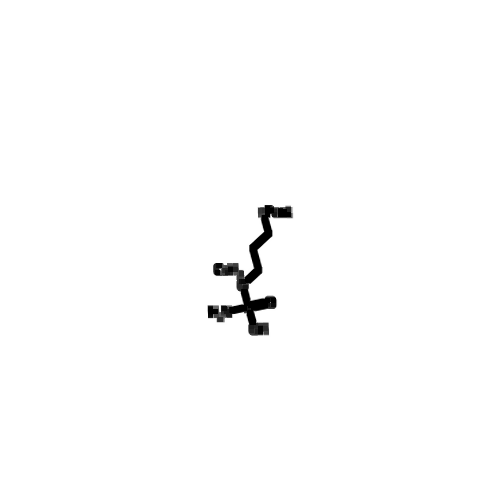 CCCCCCCCOP(N)(=O)O.[CaH2]